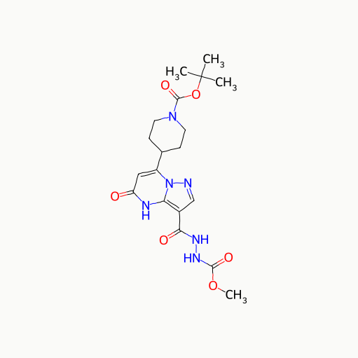 COC(=O)NNC(=O)c1cnn2c(C3CCN(C(=O)OC(C)(C)C)CC3)cc(=O)[nH]c12